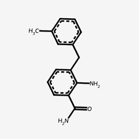 Cc1cccc(Cc2cccc(C(N)=O)c2N)c1